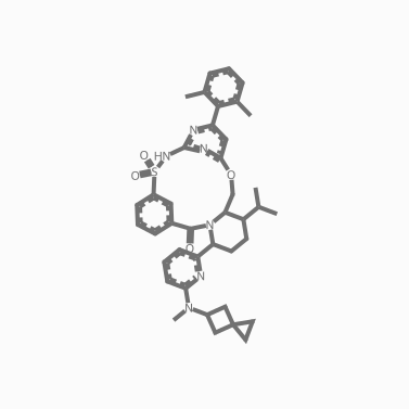 Cc1cccc(C)c1-c1cc2nc(n1)NS(=O)(=O)c1cccc(c1)C(=O)N1C(c3cccc(N(C)C4CC5(CC5)C4)n3)CCC(C(C)C)C1CO2